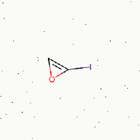 IC1=CO1